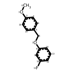 COc1ccc(COc2[c]c(F)ccc2)cc1